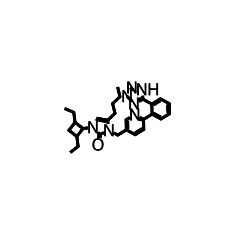 CCCCc1cn(C2C(CC)CC2CC)c(=O)n1Cc1ccc(-c2ccccc2-c2nnn[nH]2)nc1